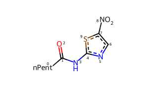 CCCCCC(=O)Nc1ncc([N+](=O)[O-])s1